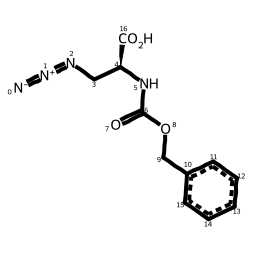 [N-]=[N+]=NC[C@H](NC(=O)OCc1ccccc1)C(=O)O